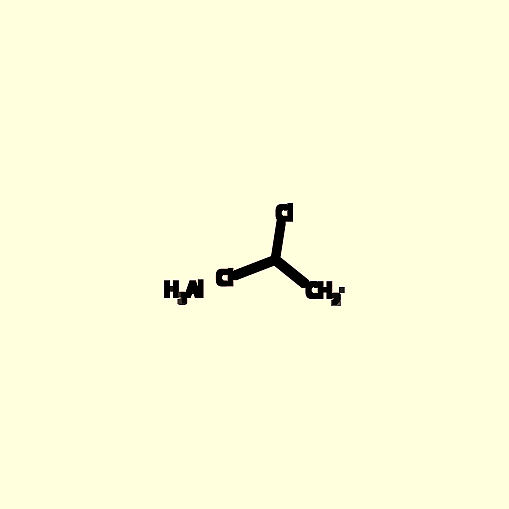 [AlH3].[CH2]C(Cl)Cl